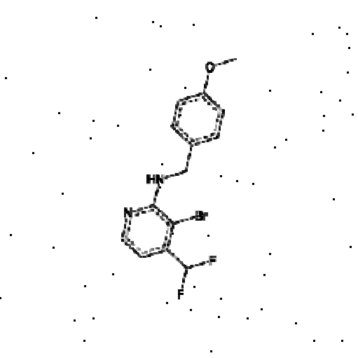 COc1ccc(CNc2nccc(C(F)F)c2Br)cc1